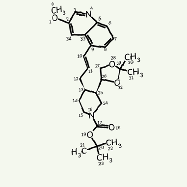 COc1cnc2cccc(/C=C/C[C@@H]3CCN(C(=O)OC(C)(C)C)C[C@@H]3C3COC(C)(C)O3)c2c1